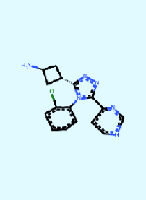 N[C@H]1C[C@H](c2nnc(-c3ccncn3)n2-c2ccccc2Cl)C1